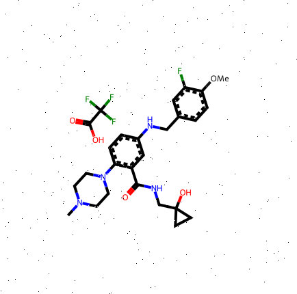 COc1ccc(CNc2ccc(N3CCN(C)CC3)c(C(=O)NCC3(O)CC3)c2)cc1F.O=C(O)C(F)(F)F